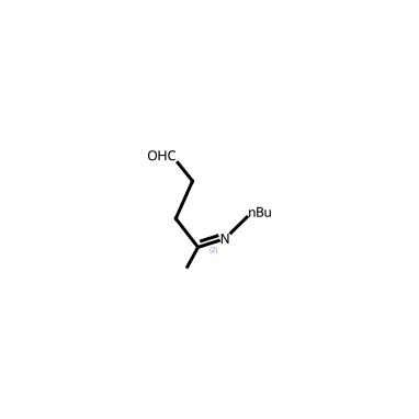 CCCC/N=C(/C)CCC=O